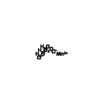 O.O.O.O.[Cl-].[Cl-].[Mn+2]